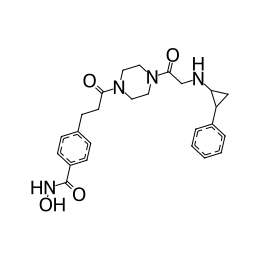 O=C(NO)c1ccc(CCC(=O)N2CCN(C(=O)CNC3CC3c3ccccc3)CC2)cc1